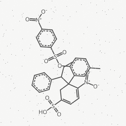 CCC(c1ccccc1)C1(c2cc(C)ccc2OS(=O)(=O)c2ccc([N+](=O)[O-])cc2)CC(S(=O)(=O)O)=CC=C1[N+](=O)[O-]